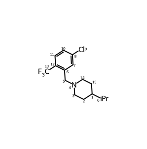 CC(C)C1CCN(Cc2cc(Cl)ccc2C(F)(F)F)CC1